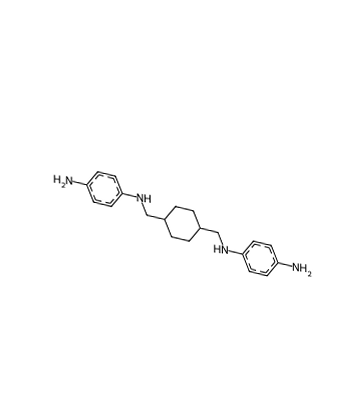 Nc1ccc(NCC2CCC(CNc3ccc(N)cc3)CC2)cc1